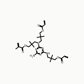 C=CC(=O)OCC(C)(C)CNc1nc(N)nc(N(CC(C)(C)COC(=O)C=C)CC(C)(C)COC(=O)C(=C)C)n1